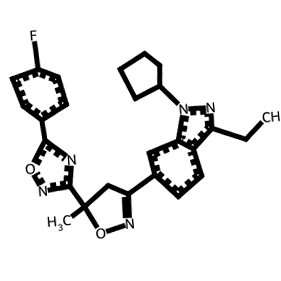 CCc1nn(C2CCCC2)c2cc(C3=NOC(C)(c4noc(-c5ccc(F)cc5)n4)C3)ccc12